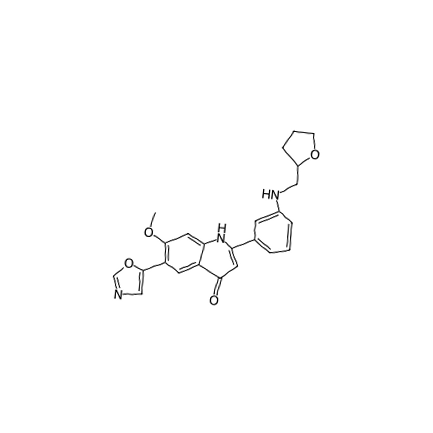 COc1cc2[nH]c(-c3cccc(NCC4CCCO4)c3)cc(=O)c2cc1-c1cnco1